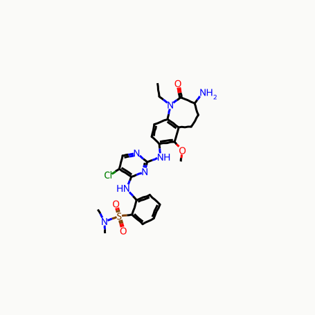 CCN1C(=O)C(N)CCc2c1ccc(Nc1ncc(Cl)c(Nc3ccccc3S(=O)(=O)N(C)C)n1)c2OC